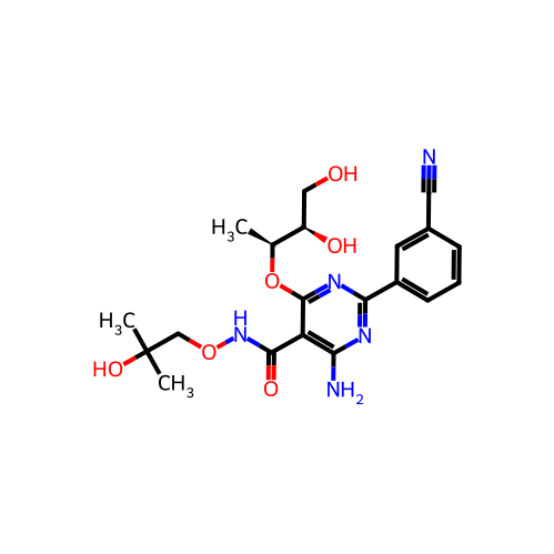 C[C@H](Oc1nc(-c2cccc(C#N)c2)nc(N)c1C(=O)NOCC(C)(C)O)[C@H](O)CO